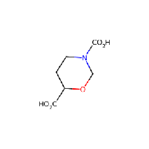 O=C(O)C1CCN(C(=O)O)CO1